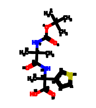 CC(C)(C)OC(=O)NC(C)(C)C(=O)NC(C)(C(=O)O)c1ccsc1